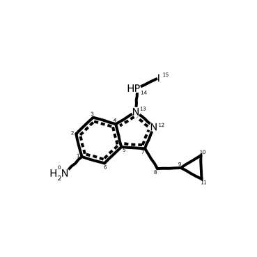 Nc1ccc2c(c1)c(CC1CC1)nn2PI